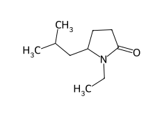 CCN1C(=O)CCC1CC(C)C